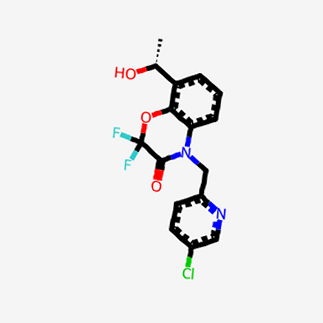 C[C@@H](O)c1cccc2c1OC(F)(F)C(=O)N2Cc1ccc(Cl)cn1